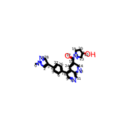 Cn1cc(-c2ccc(-c3cncc4ncc(C(=O)N5CCC(O)C5)cc34)cc2)cn1